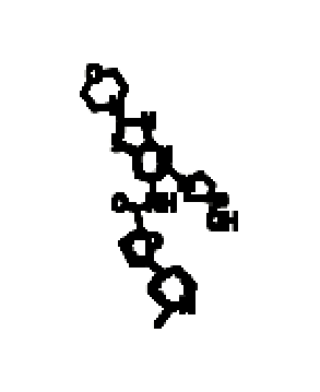 Cc1cc(-c2ccc(C(=O)Nc3cc4sc(N5CCOCC5)nc4nc3N3CC[C@H](O)C3)o2)ccn1